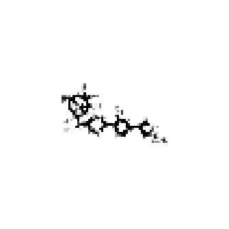 CN(c1cnc(-c2ccc(-c3cnn(C)c3)cc2O)nn1)[C@H]1C[C@@H]2CC(F)(F)CC1[C@H](O)N2